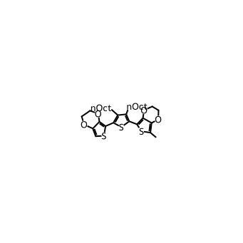 CCCCCCCCc1c(-c2scc3c2OCCO3)sc(-c2sc(C)c3c2OCCO3)c1CCCCCCCC